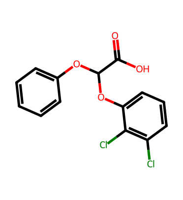 O=C(O)C(Oc1ccccc1)Oc1cccc(Cl)c1Cl